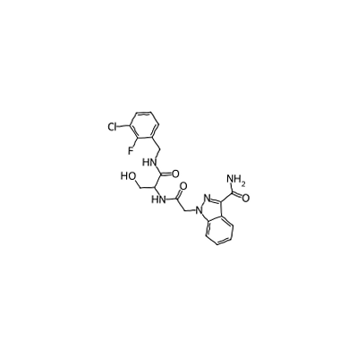 NC(=O)c1nn(CC(=O)NC(CO)C(=O)NCc2cccc(Cl)c2F)c2ccccc12